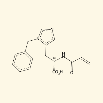 C=CC(=O)N[C@@H](Cc1cncn1Cc1ccccc1)C(=O)O